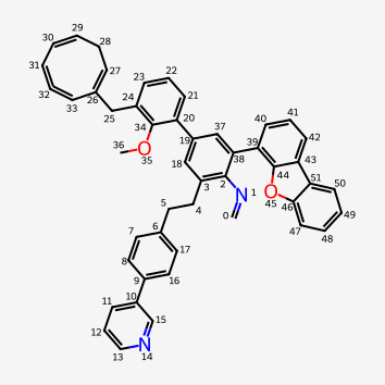 C=Nc1c(CCc2ccc(-c3cccnc3)cc2)cc(-c2cccc(C/C3=C/C/C=C\C=C=C3)c2OC)cc1-c1cccc2c1oc1ccccc12